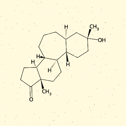 C[C@@]1(O)CC[C@H]2[C@@H](CCC[C@@H]3[C@@H]2CC[C@]2(C)C(=O)CC[C@@H]32)C1